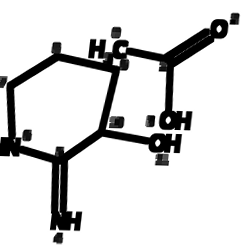 CC(=O)O.N=C1NCCCC1O